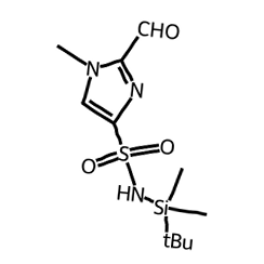 Cn1cc(S(=O)(=O)N[Si](C)(C)C(C)(C)C)nc1C=O